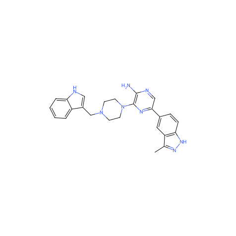 Cc1n[nH]c2ccc(-c3cnc(N)c(N4CCN(Cc5c[nH]c6ccccc56)CC4)n3)cc12